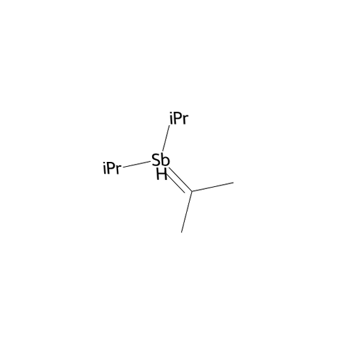 C[C](C)=[SbH]([CH](C)C)[CH](C)C